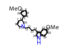 COc1cccc(C2C=CCN(CCCCc3c[nH]c4ccc(OC)cc34)C2)c1